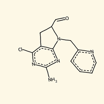 Nc1nc(Cl)c2c(n1)N(Cc1ccccn1)C(C=O)C2